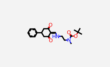 CN(CCNC=C1C(=O)CC(c2ccccc2)CC1=O)C(=O)OC(C)(C)C